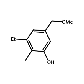 CCc1cc(COC)cc(O)c1C